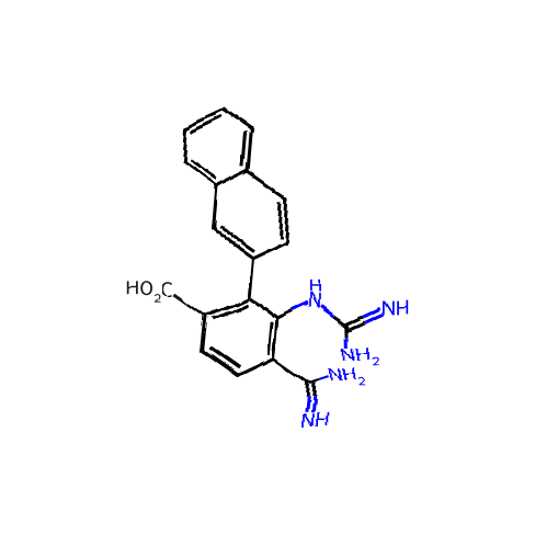 N=C(N)Nc1c(C(=N)N)ccc(C(=O)O)c1-c1ccc2ccccc2c1